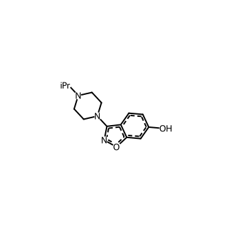 CC(C)N1CCN(c2noc3cc(O)ccc23)CC1